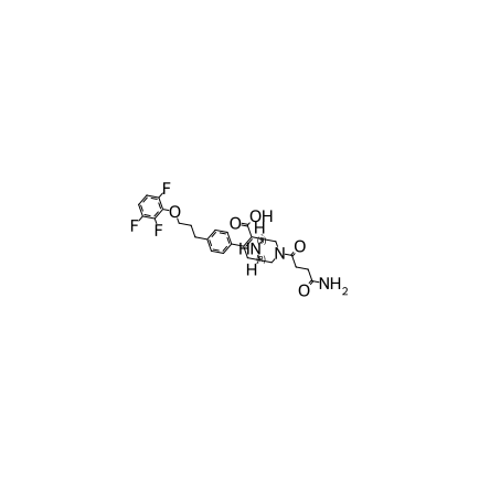 NC(=O)CCC(=O)N1C[C@H]2CC(c3ccc(CCCOc4c(F)ccc(F)c4F)cc3)=C(C(=O)O)[C@@H](C1)N2